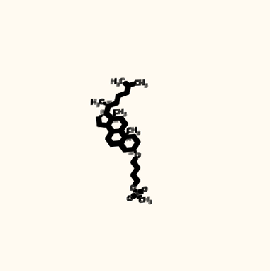 CC(C)CCC[C@@H](C)[C@H]1CCC2C3CC=C4C[C@@H](OCCCCOS(C)(=O)=O)CC[C@]4(C)C3CC[C@@]21C